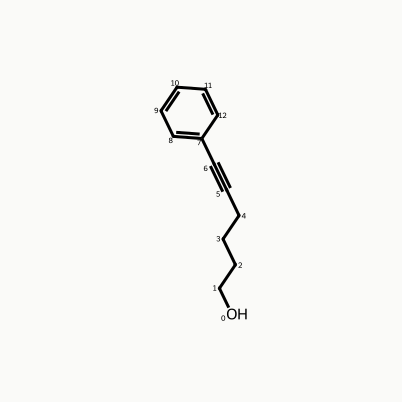 OCCCCC#Cc1ccccc1